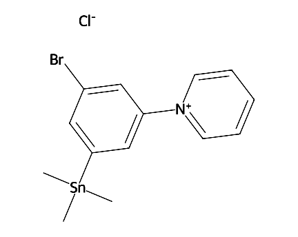 [CH3][Sn]([CH3])([CH3])[c]1cc(Br)cc(-[n+]2ccccc2)c1.[Cl-]